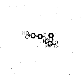 COC(=O)C(C)C(Cc1ccccc1)c1nc(Nc2ccc(C3CCN(C(=O)O)CC3)cc2)ncc1C(F)(F)F